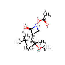 CC(=O)ON1C[C@@H]([C@H](C(C)(C)C)C(C)(C)O[SiH3])C1=O